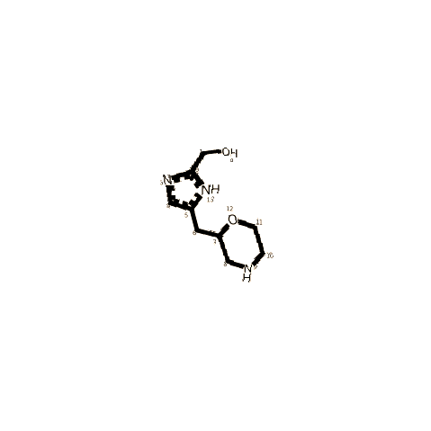 OCc1ncc(CC2CNCCO2)[nH]1